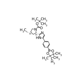 CC[C@H]1C[C@@H](c2ncc(-c3ccc(B4OC(C)(C)C(C)(C)O4)cc3)[nH]2)N(C(=O)OC(C)(C)C)C1